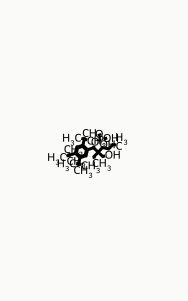 CCCCC(CC)(CO)C(OP(=O)(O)O)c1cc(C(C)(C)C)c(C(C)(C)C)cc1C(C)(C)C